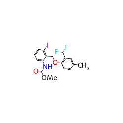 COC(=O)Nc1cccc(I)c1COc1ccc(C)cc1C(F)F